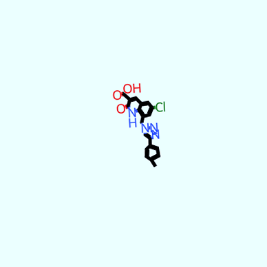 Cc1ccc(-c2cn(Cc3cc(Cl)cc4cc(C(=O)O)c(=O)[nH]c34)nn2)cc1